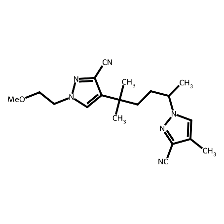 COCCn1cc(C(C)(C)CCC(C)n2cc(C)c(C#N)n2)c(C#N)n1